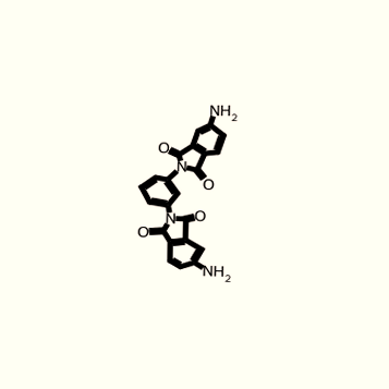 Nc1ccc2c(c1)C(=O)N(c1cccc(N3C(=O)c4ccc(N)cc4C3=O)c1)C2=O